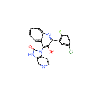 O=c1[nH]c2cnccc2n1-c1c(O)c(-c2cc(Cl)ccc2F)nc2ccccc12